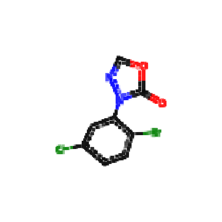 O=c1ocnn1-c1cc(Cl)ccc1Br